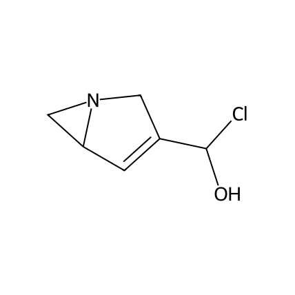 OC(Cl)C1=CC2CN2C1